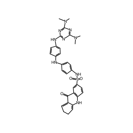 CN(C)c1nc(Nc2ccc(Nc3ccc(NS(=O)(=O)c4ccc5[nH]c6c(c(=O)c5c4)=CCCC=6)cc3)cc2)nc(N(C)C)n1